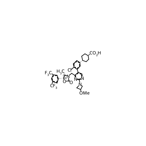 COC1CN(c2ncc(-c3cc([C@H]4CC[C@H](C(=O)O)CC4)ccc3Cl)c(CN3C(=O)O[C@H](c4cc(C(F)(F)F)cc(C(F)(F)F)c4)[C@@H]3C)n2)C1